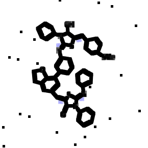 CSc1ccc(/C=C2\S/C(=N\c3cccc(-c4cc(/C=C5\S/C(=N\c6ccccc6)N(c6ccccc6)C5=O)cc5ccoc45)c3)N(c3ccccc3)C2O)cc1